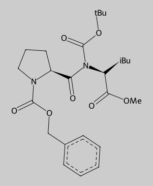 CC[C@H](C)[C@@H](C(=O)OC)N(C(=O)OC(C)(C)C)C(=O)[C@@H]1CCCN1C(=O)OCc1ccccc1